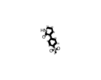 CS(=O)(=O)c1ccc(-c2ccc[nH]c2=O)cc1